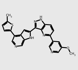 COc1cncc(-c2ccc3[nH]nc(-c4cc5c(-c6ccc(C)s6)cncc5[nH]4)c3n2)c1